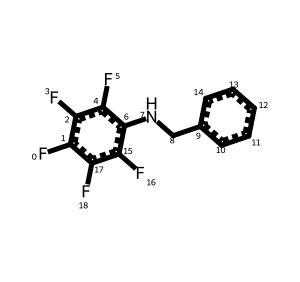 Fc1c(F)c(F)c(NCc2ccccc2)c(F)c1F